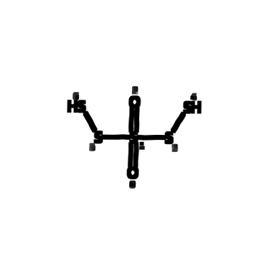 O=S(=O)(SS)SS